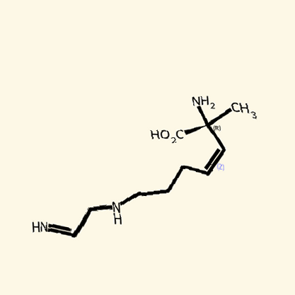 C[C@@](N)(/C=C\CCCNCC=N)C(=O)O